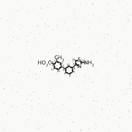 Cc1cc(-c2cccc(-c3csc(N)n3)c2)ccc1C(=O)O